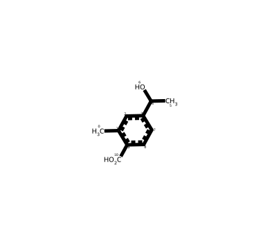 Cc1cc(C(C)O)ccc1C(=O)O